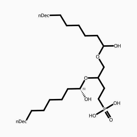 CCCCCCCCCCCCCCCC(O)OCC(CCP(=O)(O)O)O[C@H](O)CCCCCCCCCCCCCCC